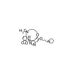 CN1CCCCCOc2cc3c(ncnc3cc2OCCCN2CCCCC2)Nc2c(ccc3c2OCO3)C1